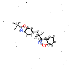 CC(C)(C)c1nc2ccc(CC(C)(C)c3noc4ccccc34)cc2o1